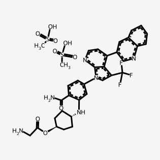 CS(=O)(=O)O.CS(=O)(=O)O.NCC(=O)O[C@H]1CC[C@H](Nc2cc(-n3cc(C(F)(F)F)c4c(-c5cnc6ccccc6c5)ccnc43)ccc2C(N)=O)CC1